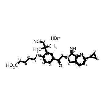 Br.CC(C)(CC#N)c1cc(C(=O)CN2Cc3ccc(C4CC4)nc3C2=N)ccc1OCCCCC(=O)O